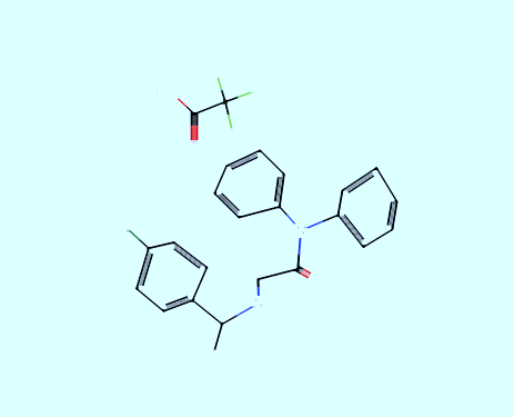 CC(NCC(=O)N(c1ccccc1)c1ccccc1)c1ccc(Cl)cc1.O=C(O)C(F)(F)F